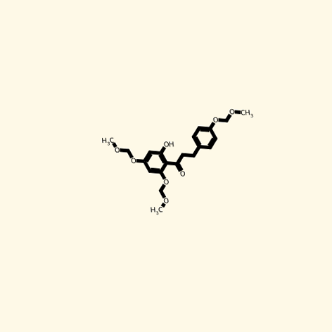 COCOc1ccc(CCC(=O)c2c(O)cc(OCOC)cc2OCOC)cc1